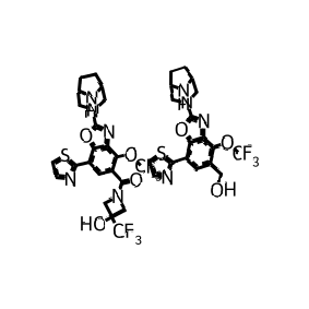 O=C(c1cc(-c2nccs2)c2oc(N3CC4CCC(C3)N4)nc2c1OC(F)(F)F)N1CC(O)(C(F)(F)F)C1.OCc1cc(-c2nccs2)c2oc(N3CC4CCC(C3)N4)nc2c1OC(F)(F)F